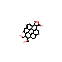 O=CC1=C(C=O)C2CC=c3ccc4c5c(c6ccc7ccc1c1c2c3c4c6c71)C(O)OC5=O